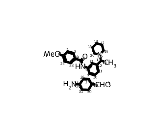 COc1ccc(C(=O)Nc2cccc(C(C)N3CCCCC3)c2)cc1.NC1CCC(C=O)CC1